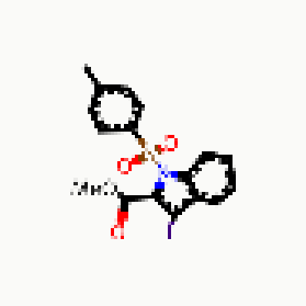 COC(=O)c1c(I)c2ccccc2n1S(=O)(=O)c1ccc(C)cc1